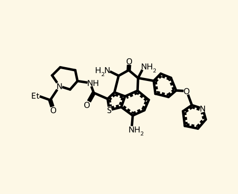 CCC(=O)N1CCCC(NC(=O)c2sc3c(N)ccc4c3c2C(N)C(=O)C4(N)c2ccc(Oc3ccccn3)cc2)C1